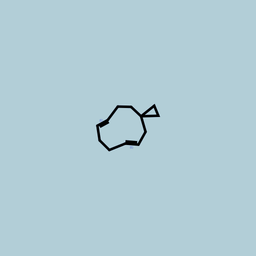 C1=C/CCC2(C/C=C/CC/1)CC2